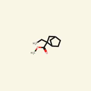 CCC1(C(=O)OC)CC2CCC1C2